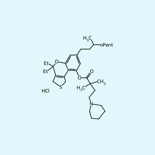 CCCCCC(C)CCc1cc(OC(=O)C(C)(C)CCN2CCCCC2)c2c(c1)OC(CC)(CC)C1=C2CSC1.Cl